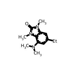 CCc1cc(N(C)C)c2c(c1)n(C)c(=O)n2C